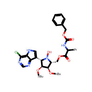 CCCCO[C@@H]1[C@H](OCCCC)[C@@H](COC(=O)C(NC(=O)OCc2ccccc2)C(C)C)N(O)[C@H]1c1c[nH]c2c(Cl)ncnc12